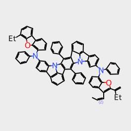 C=C(CC)c1oc2c(N(c3ccccc3)c3ccc4c5cccc6c7c(-c8ccccc8)c8c(c(-c9ccccc9)c7n(c4c3)c56)c3cccc4c5ccc(N(c6ccccc6)c6cccc7c6oc6c(CC)cccc67)cc5n8c43)cccc2c1/C=C\C